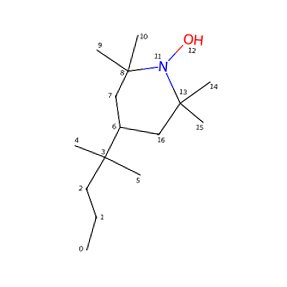 CCCC(C)(C)C1CC(C)(C)N(O)C(C)(C)C1